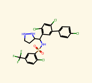 O=S(=O)(NC(c1cc(-c2ccc(Cl)cc2)c(Cl)cc1Cl)C1CCNN1)c1cc(C(F)(F)F)ccc1Cl